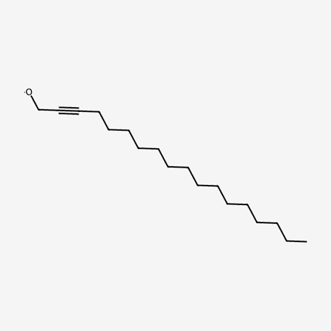 CCCCCCCCCCCCCCCC#CC[O]